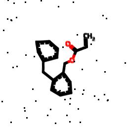 C=CC(=O)OCc1ccccc1Cc1ccccc1